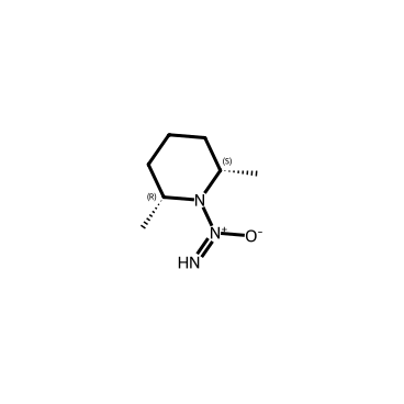 C[C@@H]1CCC[C@H](C)N1[N+](=N)[O-]